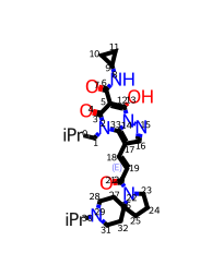 CC(C)Cn1c(=O)c(C(=O)NC2CC2)c(O)n2ncc(/C=C/C(=O)N3CCCC34CCN(C(C)C)CC4)c12